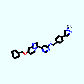 Cn1cc(-c2ccc(CNc3cc(-c4cnc5cc(OCc6ccccc6)ccn45)ncn3)cc2)cn1